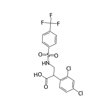 O=C(O)C(CNS(=O)(=O)c1ccc(C(F)(F)F)cc1)c1ccc(Cl)cc1Cl